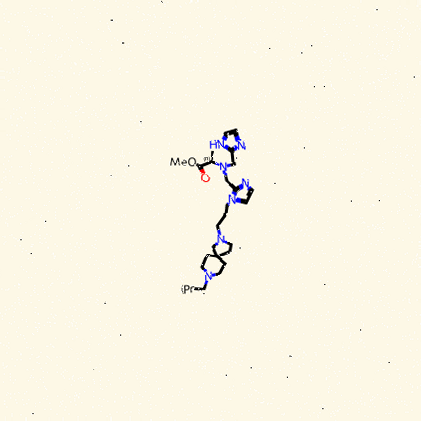 COC(=O)[C@@H](C)N(Cc1ncc[nH]1)Cc1nccn1CCCN1CCC2(CCN(CC(C)C)CC2)C1